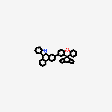 c1ccc2c(c1)N=C1c3cc(-c4ccc5c(c4)C4(c6ccccc6O5)c5ccccc5-c5ccccc54)ccc3-c3ccccc3C12